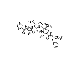 C=C[C@H]1CC2C(C)[C@H](NC(=O)[C@@H](NC(=O)c3cnccn3)C(C)C)C(=O)N2[C@@H]1C(=O)NC(CCC)C(=O)C(=O)N[C@@H](Cc1ccccc1)C(=O)O